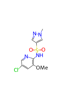 COc1cc(Cl)cnc1NS(=O)(=O)c1cnn(C)c1